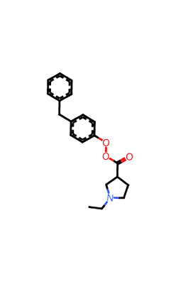 CCN1CCC(C(=O)OOc2ccc(Cc3ccccc3)cc2)C1